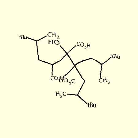 CC(CC(C(=O)O)C(O)(C(=O)O)C(CC(C)C(C)(C)C)(CC(C)C(C)(C)C)C(=O)O)C(C)(C)C